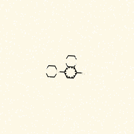 Nc1ccc(N2CCOCC2)c2c1OCCO2